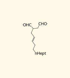 CCCCCCCCCC=CCC([C]=O)C[C]=O